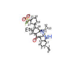 C#Cc1ccc2c(c1)[nH]c1c2c(=O)c2cc(CC)c(-c3cccc(S(=O)(=O)F)c3)cc2n1C1CC1